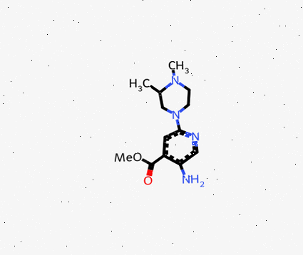 COC(=O)c1cc(N2CCN(C)C(C)C2)ncc1N